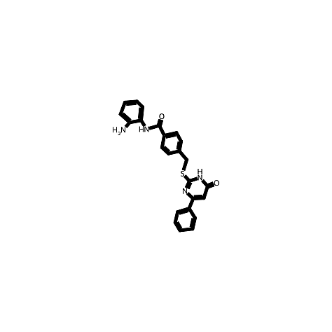 Nc1ccccc1NC(=O)c1ccc(CSc2nc(-c3ccccc3)cc(=O)[nH]2)cc1